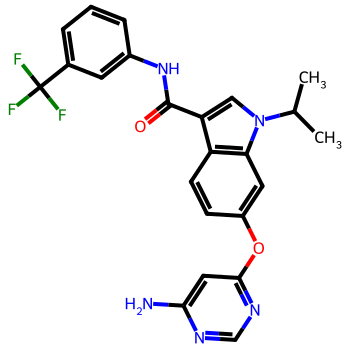 CC(C)n1cc(C(=O)Nc2cccc(C(F)(F)F)c2)c2ccc(Oc3cc(N)ncn3)cc21